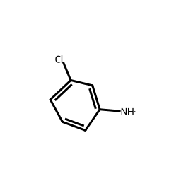 [NH]c1cccc(Cl)c1